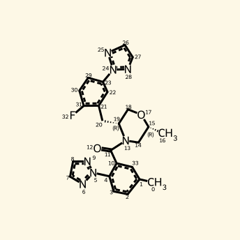 Cc1ccc(-n2nccn2)c(C(=O)N2C[C@@H](C)OC[C@H]2Cc2cc(-n3nccn3)ccc2F)c1